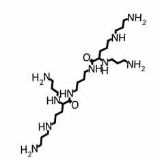 NCCCNCCCC(NCCCN)C(=O)NCCCCNC(=O)C(CCCNCCCN)NCCCN